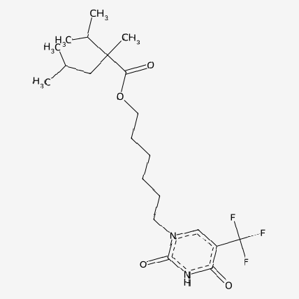 CC(C)CC(C)(C(=O)OCCCCCCn1cc(C(F)(F)F)c(=O)[nH]c1=O)C(C)C